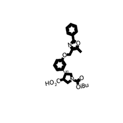 Cc1oc(-c2ccccc2)nc1COc1cccc([C@@H]2CN(C(=O)OCC(C)C)CC2C(=O)O)c1